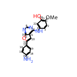 COc1ccc(Nc2ncnc3oc(-c4ccc(N)cc4)cc23)cc1O